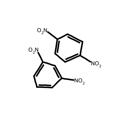 O=[N+]([O-])c1ccc([N+](=O)[O-])cc1.O=[N+]([O-])c1cccc([N+](=O)[O-])c1